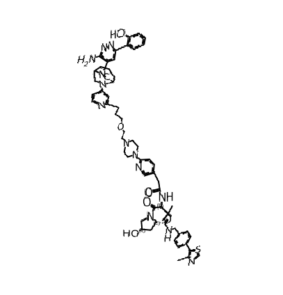 Cc1ncsc1-c1ccc(CNC(=O)[C@@H]2C[C@@H](O)CN2C(=O)[C@@H](NC(=O)Cc2ccc(N3CCN(CCOCCCc4cc(N5CC6CCCC5CN6c5cc(-c6ccccc6O)nnc5N)ccn4)CC3)nc2)C(C)(C)C)cc1